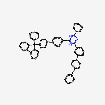 c1ccc(-c2ccc(-c3cccc(-c4nc(-c5ccccc5)nc(-c5ccc(-c6ccc(C7(c8ccccc8)c8ccccc8-c8ccccc87)cc6)cc5)n4)c3)cc2)cc1